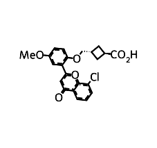 COc1ccc(OC[C@H]2C[C@H](C(=O)O)C2)c(-c2cc(=O)c3cccc(Cl)c3o2)c1